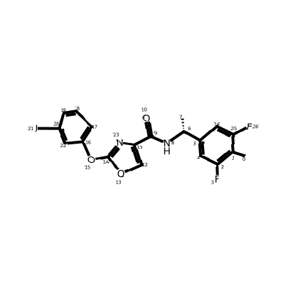 Cc1c(F)cc([C@@H](C)NC(=O)c2coc(Oc3cccc(I)c3)n2)cc1F